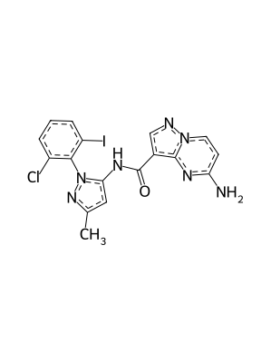 Cc1cc(NC(=O)c2cnn3ccc(N)nc23)n(-c2c(Cl)cccc2I)n1